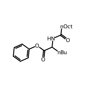 CCCCCCCCC(=O)NC(CCCC)C(=O)Oc1ccccc1